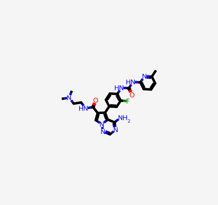 Cc1cccc(NC(=O)Nc2ccc(-c3c(C(=O)NCCN(C)C)cn4ncnc(N)c34)cc2F)n1